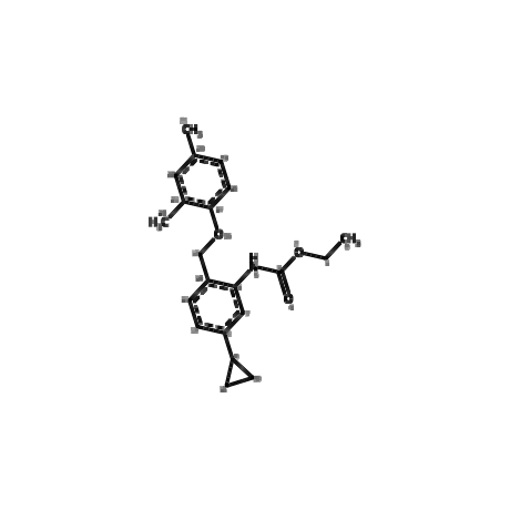 CCOC(=O)Nc1cc(C2CC2)ccc1COc1ccc(C)cc1C